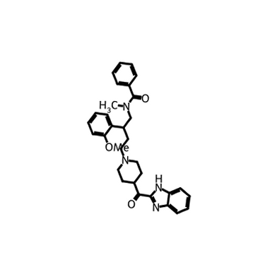 COc1ccccc1C(CCN1CCC(C(=O)c2nc3ccccc3[nH]2)CC1)CN(C)C(=O)c1ccccc1